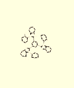 Cc1ccccc1-n1c(-c2cc(-c3nc4ccccc4n3-c3ccccc3C)cc(-c3nc4ccccc4n3-c3ccccc3C)c2)nc2ccccc21